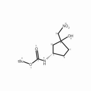 CC(C)(C)OC(=O)N[C@H]1CCC(O)(C[N+](=O)[O-])C1